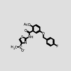 CC(=O)Oc1ccc(OCc2ccc(F)cc2)cc1C(=O)Nc1nc([S+](C)[O-])cs1